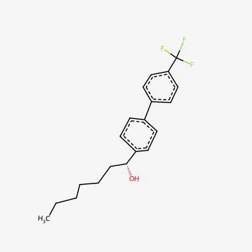 CCCCCC[C@@H](O)c1ccc(-c2ccc(C(F)(F)F)cc2)cc1